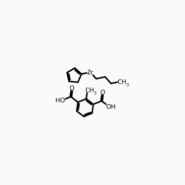 CCC[CH2][Zr][C]1=CC=CC1.Cc1c(C(=O)O)cccc1C(=O)O